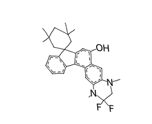 CN1CC(F)(F)N(C)c2cc3c4c(cc(O)c3cc21)C1(CC(C)(C)CC(C)(C)C1)c1ccccc1-4